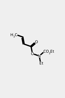 CC=CC(=O)ON(CC)C(=O)OCC